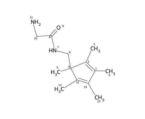 CC1=C(C)C(C)(CNC(=O)CN)C(C)=C1C